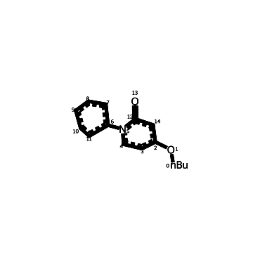 CCCCOc1ccn(-c2ccccc2)c(=O)c1